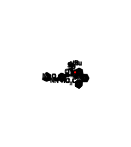 C[C@@H](O[Si](C)(C)C(C)(C)C)[C@H]1C(=O)N(C(C(=O)O)=P(c2ccccc2)(c2ccccc2)c2ccccc2)[C@@H]1CC(=O)c1ccc(CC(=O)Nc2ccncc2)cc1